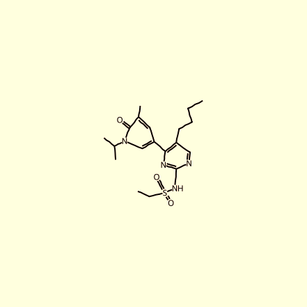 CCCCc1cnc(NS(=O)(=O)CC)nc1-c1cc(C)c(=O)n(C(C)C)c1